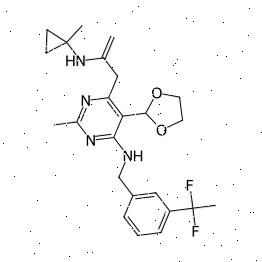 C=C(Cc1nc(C)nc(NCc2cccc(C(C)(F)F)c2)c1C1OCCO1)NC1(C)CC1